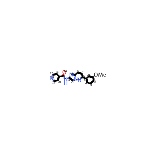 COc1cccc(-c2ccc3nc(NC(=O)c4ccncc4)cn3n2)c1